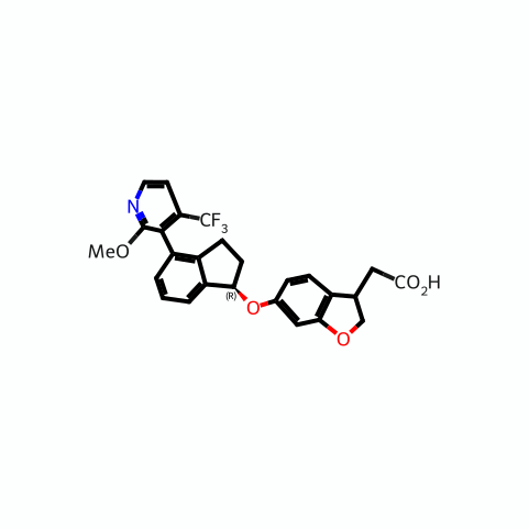 COc1nccc(C(F)(F)F)c1-c1cccc2c1CC[C@H]2Oc1ccc2c(c1)OCC2CC(=O)O